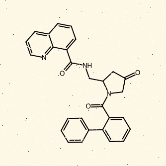 O=C1CC(CNC(=O)c2cccc3cccnc23)N(C(=O)c2ccccc2-c2ccccc2)C1